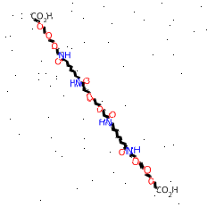 O=C(O)CCOCCOCCOCCNC(=O)CCCCCCCNC(=O)CCOCCCOCCC(=O)NCCCCCCCC(=O)NCCOCCOCCOCCC(=O)O